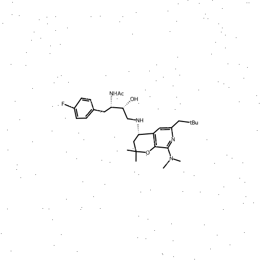 CC(=O)N[C@@H](Cc1ccc(F)cc1)[C@H](O)CN[C@H]1CC(C)(C)Oc2c1cc(CC(C)(C)C)nc2N(C)C